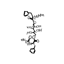 CN[C@@H](Cc1ccccc1)C(=O)OC[C@@H](O)[C@@H](O)[C@H](O)[C@H](O)COC(=O)[C@H](Cc1ccccc1)NC(=O)OC(C)(C)C